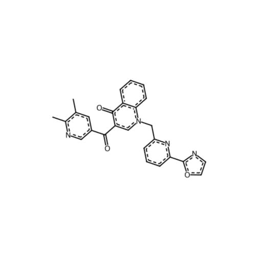 Cc1cc(C(=O)c2cn(Cc3cccc(-c4ncco4)n3)c3ccccc3c2=O)cnc1C